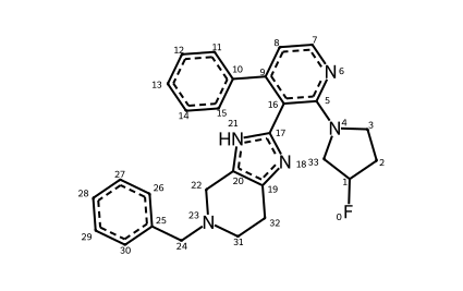 FC1CCN(c2nccc(-c3ccccc3)c2-c2nc3c([nH]2)CN(Cc2ccccc2)CC3)C1